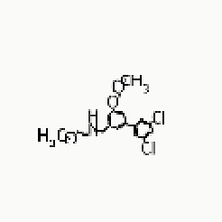 COCCNCc1cc(OCOC)cc(-c2cc(Cl)cc(Cl)c2)c1